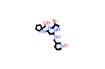 [O-][n+]1cccc(CNc2cc(NC3(CO)CCCC3)nc3c(Br)cnn23)c1